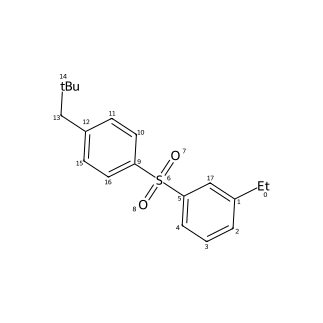 CCc1cccc(S(=O)(=O)c2ccc(CC(C)(C)C)cc2)c1